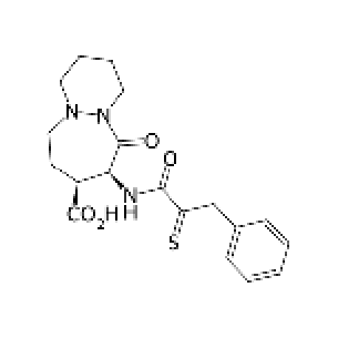 O=C(N[C@@H]1C(=O)N2CCCCN2CC[C@@H]1C(=O)O)C(=S)Cc1ccccc1